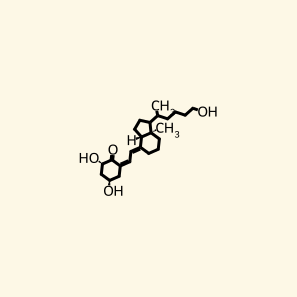 CC(CCCCO)C1CC[C@H]2/C(=C/C=C3/C[C@@H](O)C[C@H](O)C3=O)CCC[C@]12C